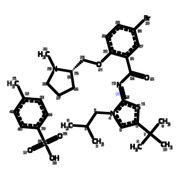 CC(C)Cn1cc(C(C)(C)C)s/c1=N\C(=O)c1cc(Br)ccc1OC[C@@H]1CCCN1C.Cc1ccc(S(=O)(=O)O)cc1